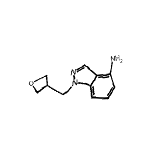 Nc1cccc2c1cnn2CC1COC1